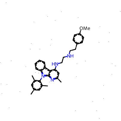 COc1ccc(CCNCCNc2cc(C)nc3c2c2ccccc2n3-c2c(C)cc(C)cc2C)cc1